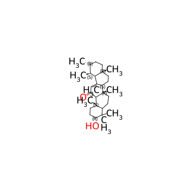 C[C@@H]1CC[C@]2(C)CC[C@]3(C)C(=CC(=O)C4[C@@]5(C)CC[C@@H](O)C(C)(C)C5CC[C@]43C)C2[C@H]1C